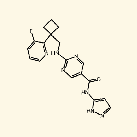 O=C(Nc1ccn[nH]1)c1cnc(NCC2(c3ncccc3F)CCC2)nc1